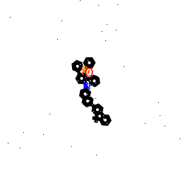 CC1(C)c2ccccc2-c2ccc(-c3ccc4ccc(-n5c6ccccc6c6c7c(ccc65)-c5ccccc5P7(=O)c5ccccc5)cc4c3)cc21